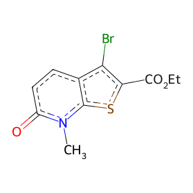 CCOC(=O)c1sc2c(ccc(=O)n2C)c1Br